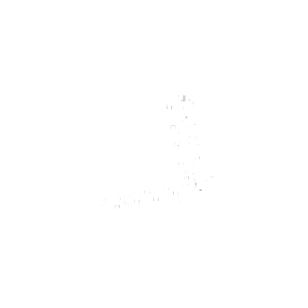 O.O.O.O.O.O.O.O.O.O.O.O.O.O.O.O.O=S(=O)(O)O.[AlH3]